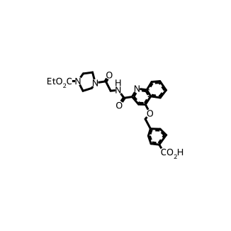 CCOC(=O)N1CCN(C(=O)CNC(=O)c2cc(OCc3ccc(C(=O)O)cc3)c3ccccc3n2)CC1